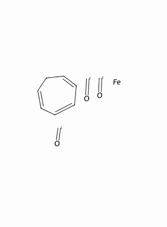 C1=CC=CCC=C1.[C]=O.[C]=O.[C]=O.[Fe]